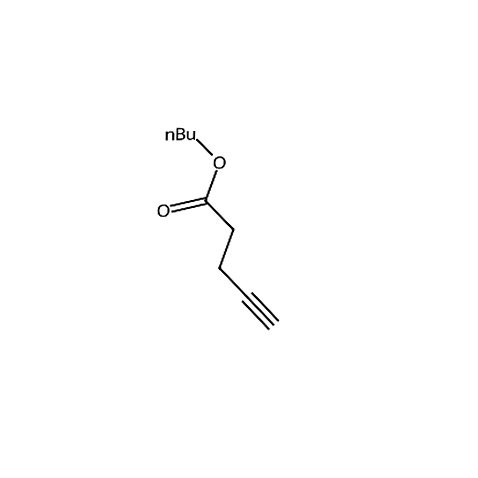 C#CCCC(=O)OCCCC